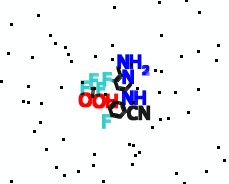 N#Cc1cc(F)ccc1Nc1cnc(CN)c(F)c1.O=C(O)C(F)(F)F